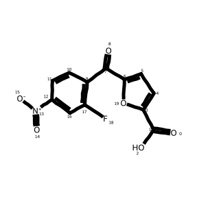 O=C(O)c1ccc(C(=O)c2ccc([N+](=O)[O-])cc2F)o1